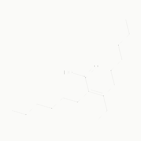 CCCCCCC(CC)=C(CCCCCC)C(=O)O